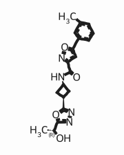 Cc1cccc(-c2cc(C(=O)N[C@H]3C[C@H](c4nnc([C@@H](C)O)o4)C3)no2)c1